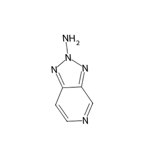 Nn1nc2ccncc2n1